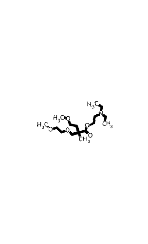 CCN(CC)CCOC(=O)C(C)(CCOC)COCCOC